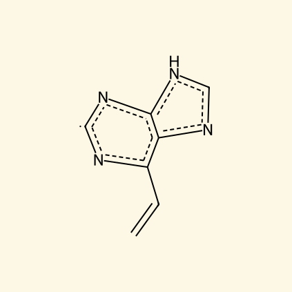 C=Cc1n[c]nc2[nH]cnc12